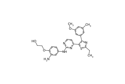 CCc1nc(-c2cc(C)cc(OC)c2)c(-c2ccnc(Nc3ccc(OCCO)c(N)c3)n2)s1